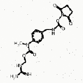 CN(C(=O)OCNC(=N)N)c1ccc(CNC(=O)ON2C(=O)CCC2=O)cc1